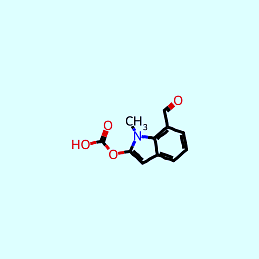 Cn1c(OC(=O)O)cc2cccc(C=O)c21